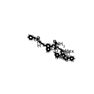 CCCCCCN(CCCN(C(=O)OCc1ccccc1)C(CCc1ccc(CCCCNC(=O)OCc2ccccc2)c2ccccc12)C(N)=O)C[C@H](O)[C@@H](O)[C@@H]1OC(c2ccccc2)OC[C@H]1O